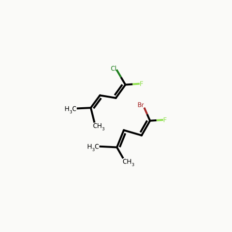 CC(C)=CC=C(F)Br.CC(C)=CC=C(F)Cl